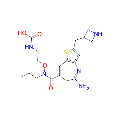 CCCN(OCCNC(=O)O)C(=O)C1=Cc2sc(CC3CNC3)cc2N=C(N)C1